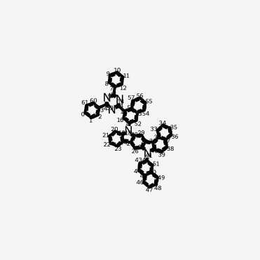 c1ccc(-c2nc(-c3ccccc3)nc(-c3cc(-n4c5ccccc5c5cc6c(cc54)c4c5ccccc5ccc4n6-c4ccc5ccccc5c4)cc4ccccc34)n2)cc1